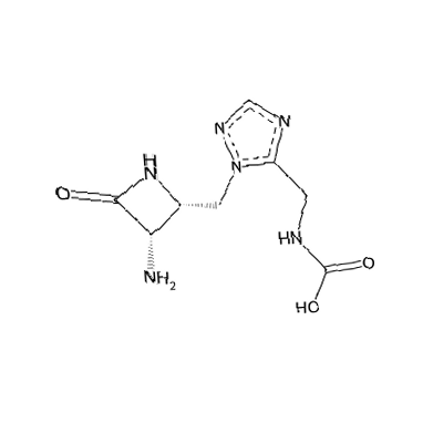 N[C@@H]1C(=O)N[C@@H]1Cn1ncnc1CNC(=O)O